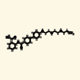 C=CCOCCOCCOc1ccc(-c2ccc(C(=O)Oc3ccccc3C(=O)O)cc2)cc1